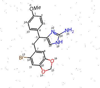 COc1ccc(C(Cc2cc3c(cc2Br)OCO3)c2c[nH]c(N)n2)cc1